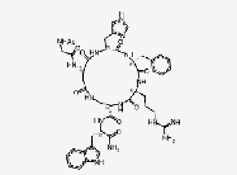 CC(=O)NCC(=O)N[C@H]1CC(=O)NC[C@@H](C(=O)N[C@@H](Cc2c[nH]c3ccccc23)C(N)=O)NC(=O)[C@H](CCCNC(=N)N)NC(=O)[C@@H](Cc2ccccc2)NC(=O)[C@H](Cc2c[nH]cn2)NC1=O